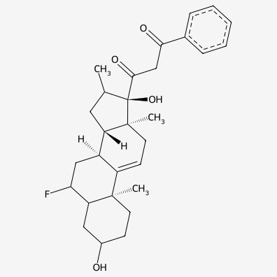 CC1C[C@H]2[C@@H]3CC(F)C4CC(O)CC[C@]4(C)C3=CC[C@]2(C)[C@@]1(O)C(=O)CC(=O)c1ccccc1